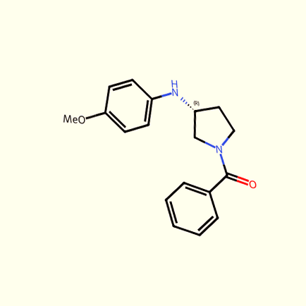 COc1ccc(N[C@@H]2CCN(C(=O)c3ccccc3)C2)cc1